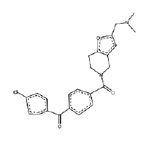 CN(C)Cc1cc2c(o1)CCN(C(=O)c1ccc(C(=O)c3ccc(Cl)cc3)cc1)C2